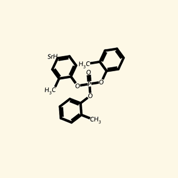 Cc1ccccc1OP(=O)(Oc1ccccc1C)Oc1ccccc1C.[SrH2]